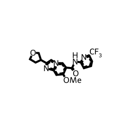 COc1cc2nc(C3CCOC3)cn2cc1C(=O)Nc1cccc(C(F)(F)F)n1